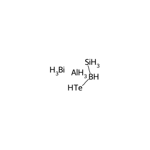 [AlH3].[BiH3].[SiH3]B[TeH]